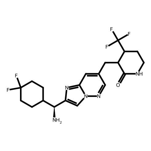 N[C@H](c1cn2ncc(CC3C(=O)NCCC3C(F)(F)F)cc2n1)C1CCC(F)(F)CC1